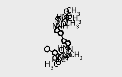 COC(=O)N[C@H](C(=O)N1CCC[C@H]1c1nc2ccc3cc(-c4ccc5c(ccc6nc([C@@H]7[C@H](C)C[C@H](C)N7C(=O)[C@H](NC(=O)OC)c7ccc(C8CCCCC8)cc7)[nH]c65)c4)ccc3c2[nH]1)C(C)C